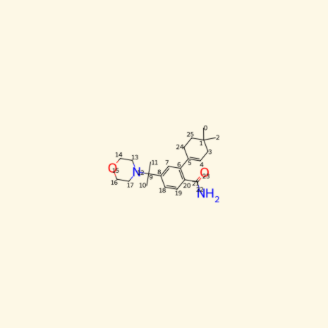 CC1(C)CC=C(c2cc(C(C)(C)N3CCOCC3)ccc2C(N)=O)CC1